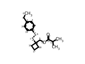 CCc1ccc(SSC2(COC(=O)C(C)C)CCC2)cc1